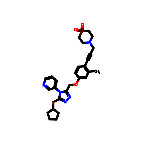 Cc1cc(OCc2nnc(SC3CCCC3)n2-c2cccnc2)ccc1C#CCN1CCS(=O)(=O)CC1